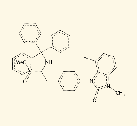 COC(=O)C(Cc1ccc(-n2c(=O)n(C)c3cccc(F)c32)cc1)NC(c1ccccc1)(c1ccccc1)c1ccccc1